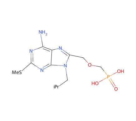 CSc1nc(N)c2nc(COCP(=O)(O)O)n(CC(C)C)c2n1